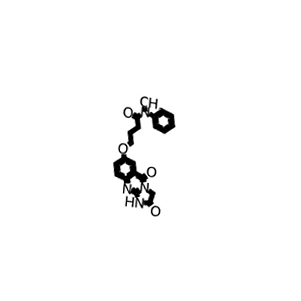 CN(C(=O)CCCOc1ccc2nc3n(c(=O)c2c1)CC(=O)N3)c1ccccc1